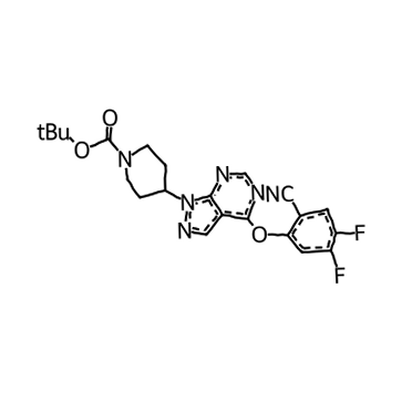 CC(C)(C)OC(=O)N1CCC(n2ncc3c(Oc4cc(F)c(F)cc4C#N)ncnc32)CC1